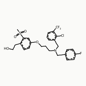 CS(=O)(=O)c1cc(OCCCN(Cc2ccc(F)cc2)Cc2cccc(C(F)(F)F)c2Cl)ccc1CCO